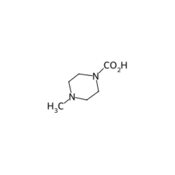 CN1CCN(C(=O)O)CC1